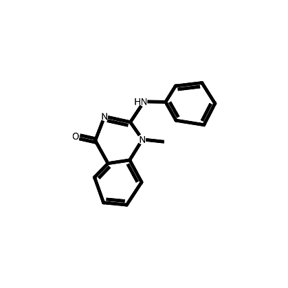 Cn1c(Nc2ccccc2)nc(=O)c2ccccc21